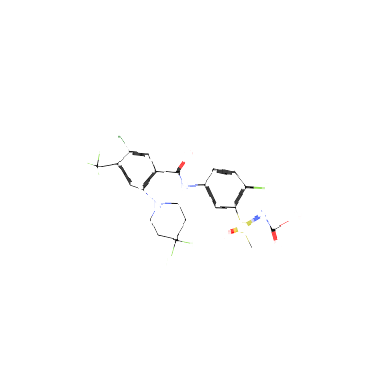 CS(=O)(=NC(=O)O)c1cc(NC(=O)c2cc(Cl)c(C(F)(F)F)cc2N2CCC(F)(F)CC2)ccc1F